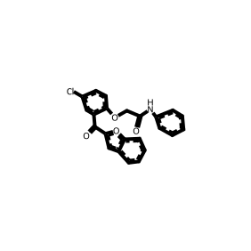 O=C(COc1ccc(Cl)cc1C(=O)c1cc2ccccc2o1)Nc1ccccc1